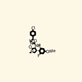 COc1cc(F)c([C@@H]2CN(C)C(=O)[C@H]2Nc2nnc(-c3ccc(Cl)cc3)o2)c(F)c1